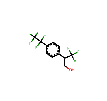 OCC(c1ccc(C(F)(F)C(F)(F)F)cc1)C(F)(F)F